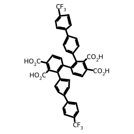 O=C(O)c1ccc(-c2ccc(C(=O)O)c(C(=O)O)c2-c2ccc(-c3ccc(C(F)(F)F)cc3)cc2)c(-c2ccc(-c3ccc(C(F)(F)F)cc3)cc2)c1C(=O)O